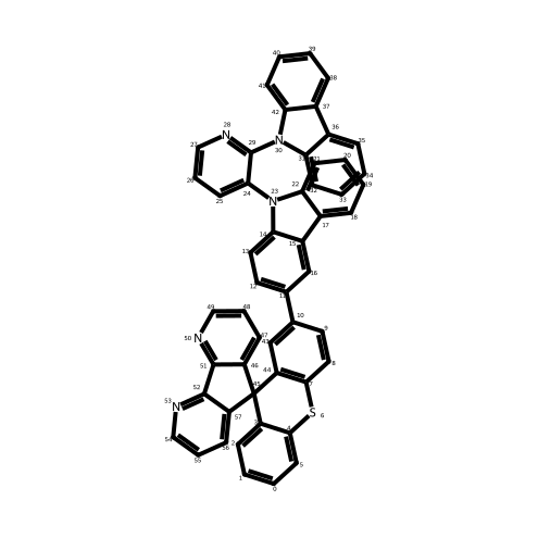 c1ccc2c(c1)Sc1ccc(-c3ccc4c(c3)c3ccccc3n4-c3cccnc3-n3c4ccccc4c4ccccc43)cc1C21c2cccnc2-c2ncccc21